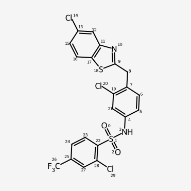 O=S(=O)(Nc1ccc(Cc2nc3cc(Cl)ccc3s2)c(Cl)c1)c1ccc(C(F)(F)F)cc1Cl